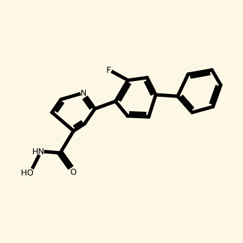 O=C(NO)c1ccnc(-c2ccc(-c3ccccc3)cc2F)c1